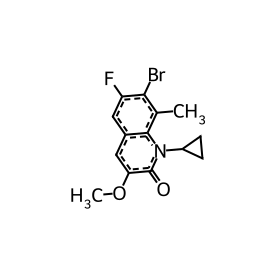 COc1cc2cc(F)c(Br)c(C)c2n(C2CC2)c1=O